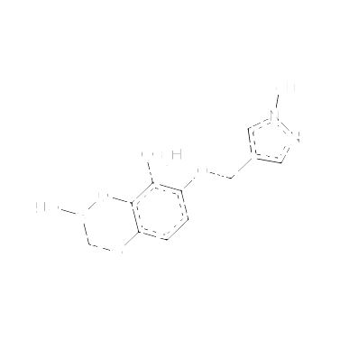 Cn1cc(COc2ccc3c(c2C(=O)O)OB(O)CO3)cn1